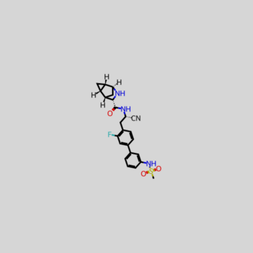 CS(=O)(=O)Nc1cccc(-c2ccc(C[C@@H](C#N)NC(=O)[C@H]3N[C@H]4C[C@H]3[C@@H]3C[C@@H]34)c(F)c2)c1